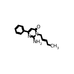 CCC=CCn1c(N)nc(-c2ccccc2)cc1=O